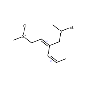 C/C=N\C(=C/C[S+](C)[O-])CN(C)CC